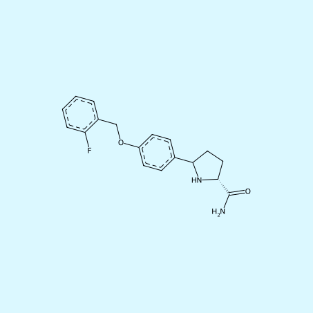 NC(=O)[C@H]1CCC(c2ccc(OCc3ccccc3F)cc2)N1